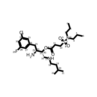 CCCN(CCC)S(=O)(=O)CCC(=O)O[C@H](CNCCC(C)C)[C@@H](N)Cc1cc(F)cc(Cl)c1